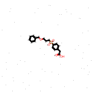 O=C(O)Cc1ccc(S(=O)(=O)CCCOCc2ccccc2)cc1